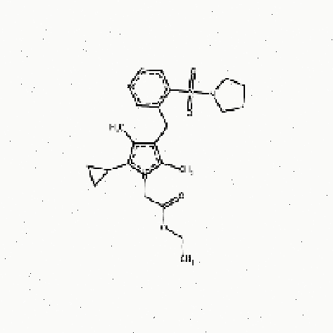 CCOC(=O)Cn1c(C)c(Cc2ccccc2S(=O)(=O)N2CCCC2)c(C)c1C1CC1